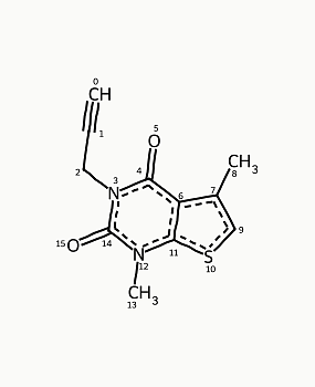 C#CCn1c(=O)c2c(C)csc2n(C)c1=O